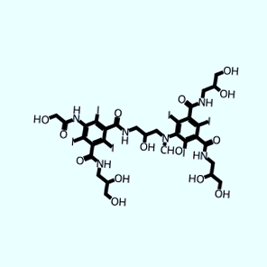 O=CN(CC(O)CNC(=O)c1c(I)c(NC(=O)CO)c(I)c(C(=O)NCC(O)CO)c1I)c1c(I)c(C(=O)NCC(O)CO)c(I)c(C(=O)NCC(O)CO)c1I